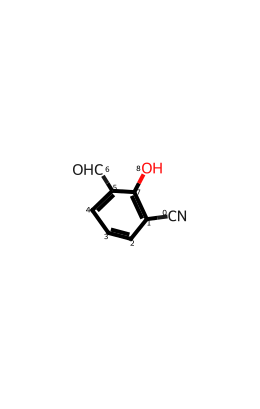 N#Cc1cccc(C=O)c1O